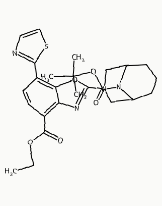 CCOC(=O)c1ccc(-c2nccs2)c2oc(N3CC4CCCC(C3)N4C(=O)OC(C)(C)C)nc12